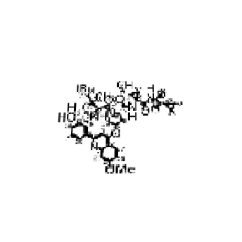 C=C[C@@H]1C[C@]1(NC(=O)[C@@H]1C[C@@H](Oc2cc(-c3ccccc3)nc3cc(OC)ccc23)CN1C(=O)[C@@H](NC(=O)O)C(C)(C)CC(C)(C)C)C(=O)NS(=O)(=O)C1CC1